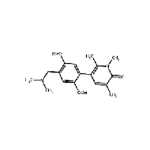 COc1cc(-c2cc(C)c(=O)n(C)c2C)c(OC)cc1CN(C)C